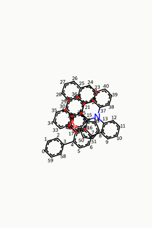 c1ccc(-c2ccc(-c3ccccc3N(c3ccccc3-c3cccc4cccc(-c5ccccc5)c34)c3ccccc3-c3cccc4oc5ccccc5c34)cc2)cc1